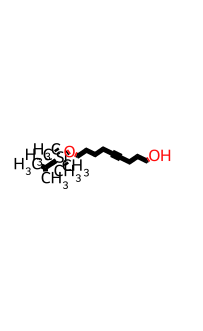 CC(C)C(C)(C)[Si](C)(C)OCCCCC#CCCCO